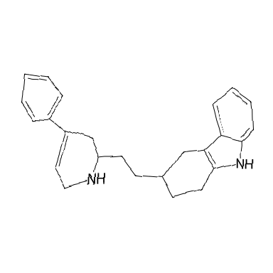 C1=C(c2ccccc2)CC(CCC2CCc3[nH]c4ccccc4c3C2)NC1